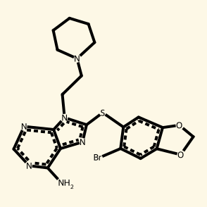 Nc1ncnc2c1nc(Sc1cc3c(cc1Br)OCO3)n2CCN1CCCCC1